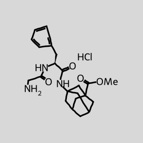 COC(=O)C12CC3CC(CC(NC(=O)[C@H](Cc4ccccc4)NC(=O)CN)(C3)C1)C2.Cl